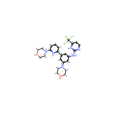 FC(F)(F)c1ccnc(Nc2cc(-c3cccc(N4CCOCC4)n3)cc(N3CCOCC3)c2)n1